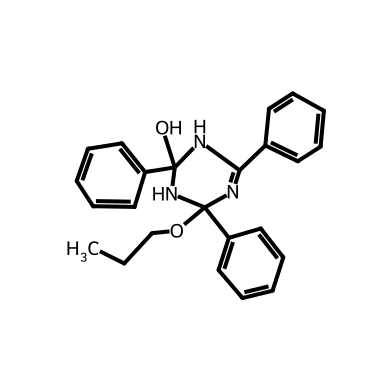 CCCOC1(c2ccccc2)N=C(c2ccccc2)NC(O)(c2ccccc2)N1